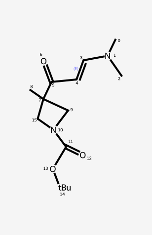 CN(C)/C=C/C(=O)C1(C)CN(C(=O)OC(C)(C)C)C1